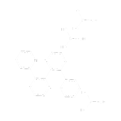 OB(O)O.OB(O)O.OB(O)O.c1ccc(-c2cccnc2-c2ncccc2-c2ccccn2)cc1